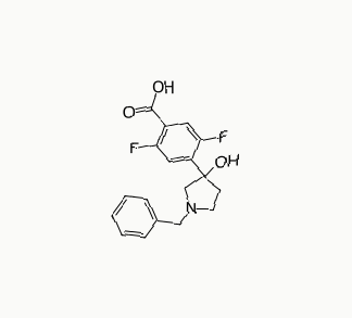 O=C(O)c1cc(F)c(C2(O)CCN(Cc3ccccc3)C2)cc1F